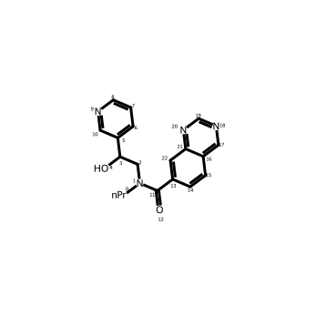 CCCN(CC(O)c1cccnc1)C(=O)c1ccc2cncnc2c1